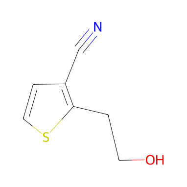 N#Cc1ccsc1CCO